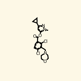 Cn1nc(C2CC2)cc1OC(=O)c1ccc(Cl)c(CN2CCOCC2)c1Cl